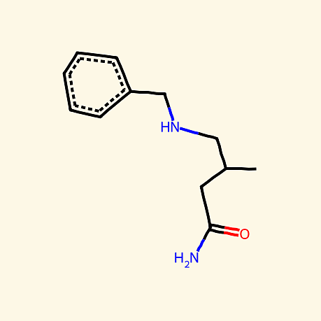 CC(CNCc1ccccc1)CC(N)=O